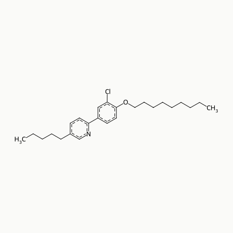 CCCCCCCCCOc1ccc(-c2ccc(CCCCC)cn2)cc1Cl